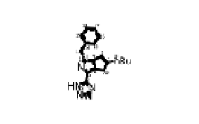 CCCCC1=Cc2c(c(-c3nnn[nH]3)nn2Cc2ccccc2)C1